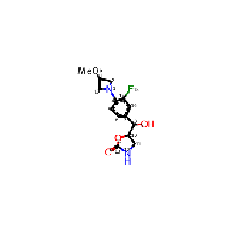 COC1CN(c2ccc(C(O)C3CNC(=O)O3)cc2F)C1